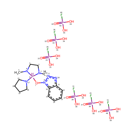 CN1CCN(C)[PH]1(On1nnc2ccccc21)N1CCCC1.O=P(O)(O)F.O=P(O)(O)F.O=P(O)(O)F.O=P(O)(O)F.O=P(O)(O)F.O=P(O)(O)F